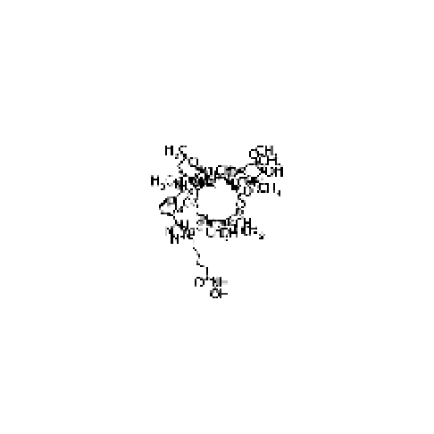 CC[C@H]1OC(=O)[C@H](C)[C@@H](O[C@H]2C[C@@](C)(OC)[C@@H](O)[C@H](C)O2)[C@H](C)[C@@H](O[C@@H]2O[C@H](C)C[C@H](N(C)Cc3cccc(-c4cn(CCCCCC(=O)NO)nn4)c3)[C@@H]2O)[C@](C)(O)C[C@@H](C)CN(C)[C@H](C)[C@@H](O)[C@]1(C)O